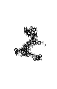 Cc1cccc(-c2nc(CN(Cc3ccccc3C)C(=O)OCc3ccc(NC(=O)C(CCCNC(N)=O)NC(=O)C(NC(=O)CCCCCN4C(=O)C=CC4=O)C(C)C)cc3)[nH]c2-c2ccc3ncnn3c2)n1